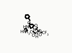 CC1C(=O)NN(OC(=O)C(F)(F)F)C2COc3cc(OCc4ccccc4)c(NC4CNC4)cc3N12